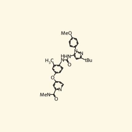 CNC(=O)c1cc(Oc2ccc(NC(=O)Nc3cc(C(C)(C)C)nn3-c3ccc(OC)cc3)c(C)c2)ccn1